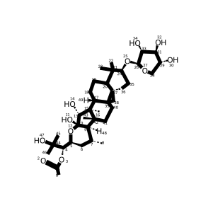 CC(=O)O[C@@H]([C@@H]1C[C@@H](C)[C@H]2[C@](O)(O1)[C@H](O)[C@@]1(C)[C@@H]3CCC4C(C)(C)[C@@H](O[C@@H]5OC[C@@H](O)[C@H](O)[C@H]5O)CC[C@@]45CC35CC[C@]21C)C(C)(C)O